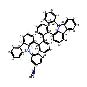 N#Cc1cccc(-n2c3ccccc3c3cccc(-c4ccccc4-c4ccccc4-c4cccc5c6ccccc6n(-c6ccccc6)c45)c32)c1